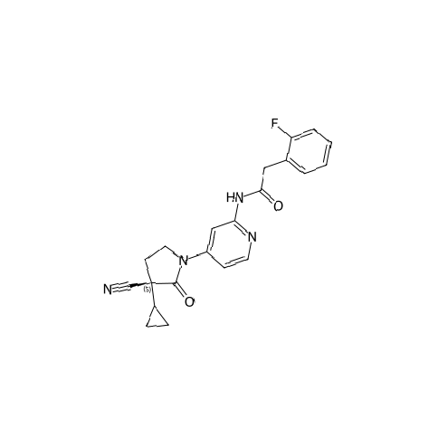 N#C[C@@]1(C2CC2)CCN(c2ccnc(NC(=O)Cc3ccccc3F)c2)C1=O